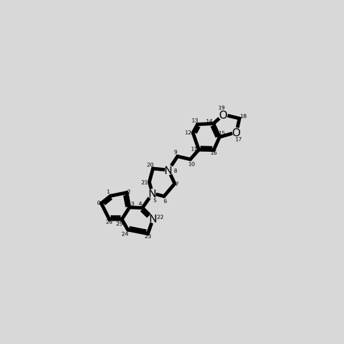 c1ccc2c(N3CCN(CCc4ccc5c(c4)OCO5)CC3)nccc2c1